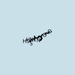 COCCOCc1ccnc(/C(C)=N/NC(=S)S)c1